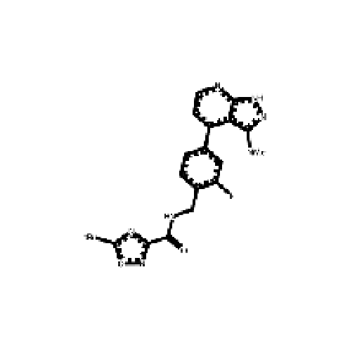 CNc1n[nH]c2nccc(-c3ccc(CNC(=O)c4noc(C(C)(C)C)n4)c(F)c3)c12